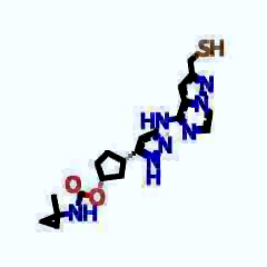 CC1(NC(=O)O[C@@H]2CC[C@H](c3cc(Nc4nccn5nc(CS)cc45)n[nH]3)C2)CC1